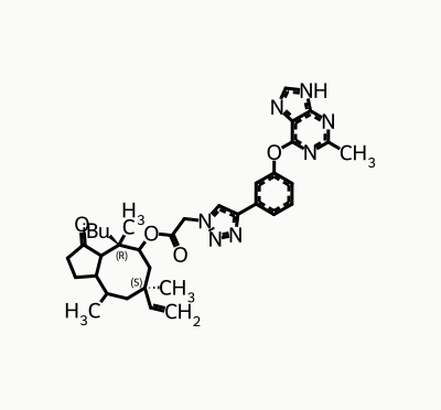 C=C[C@@]1(C)CC(C)C2CCC(=O)C2[C@@](C)(C(C)CC)C(OC(=O)Cn2cc(-c3cccc(Oc4nc(C)nc5[nH]cnc45)c3)nn2)C1